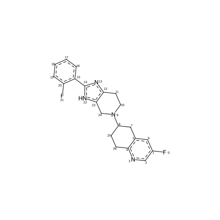 Fc1cnc2c(c1)CC(N1CCc3nc(-c4ccccc4F)[nH]c3C1)CC2